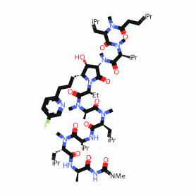 CC[C@@H](C(=O)N(C)[C@H](C)C(=O)N(C)[C@@H](CC(C)C)C(=O)N[C@H](C(=O)N(C)[C@@H](CC(C)C)C(=O)N[C@H](C)C(=O)NC(=O)NC)C(C)C)N1C(=O)[C@@H](N(C)C(=O)[C@H](C(C)C)N(C)C(=O)C(CC(C)C)N(C)C(=O)CCC(C)C)[C@H](O)[C@H]1CCCc1ccc(F)cn1